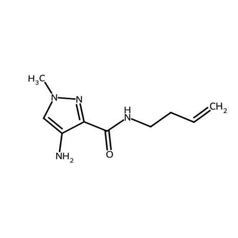 C=CCCNC(=O)c1nn(C)cc1N